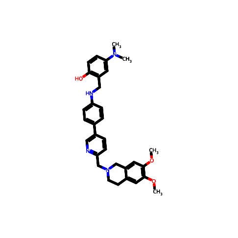 COc1cc2c(cc1OC)CN(Cc1ccc(-c3ccc(NCc4cc(N(C)C)ccc4O)cc3)cn1)CC2